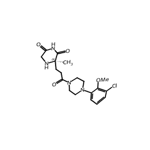 COc1c(Cl)cccc1N1CCN(C(=O)CC[C@@]2(C)NCC(=O)NC2=O)CC1